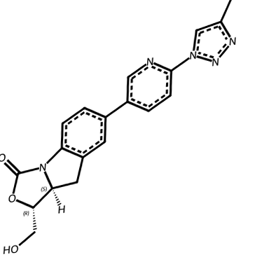 O=C1O[C@@H](CO)[C@@H]2Cc3cc(-c4ccc(-n5cc(CF)nn5)nc4)ccc3N12